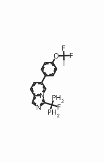 FC(F)(I)Oc1ccc(-c2ccc3cnc(C(F)(P)P)n3c2)cc1